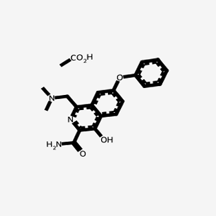 CC(=O)O.CN(C)Cc1nc(C(N)=O)c(O)c2ccc(Oc3ccccc3)cc12